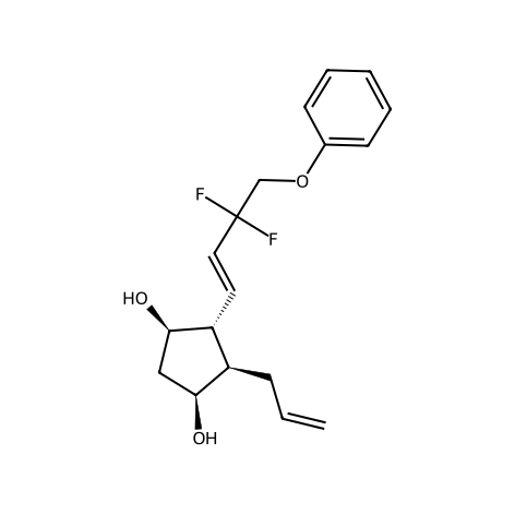 C=CC[C@@H]1[C@@H](/C=C/C(F)(F)COc2ccccc2)[C@H](O)C[C@@H]1O